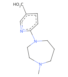 CN1CCCN(c2ccc(C(=O)O)cn2)CC1